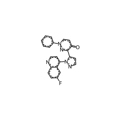 O=c1ccn(-c2ccccc2)nc1-c1ccnn1-c1ccnc2ccc(F)cc12